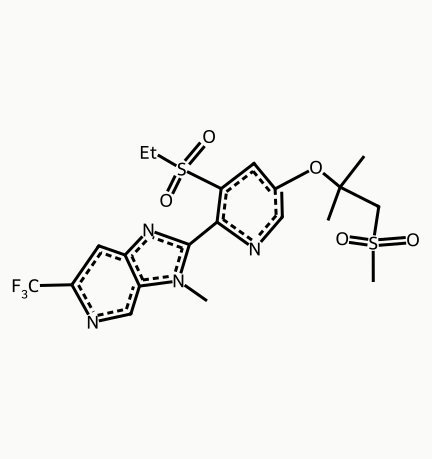 CCS(=O)(=O)c1cc(OC(C)(C)CS(C)(=O)=O)cnc1-c1nc2cc(C(F)(F)F)ncc2n1C